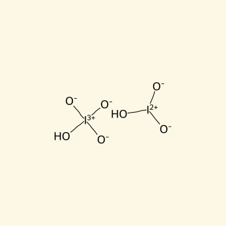 [O-][I+2]([O-])O.[O-][I+3]([O-])([O-])O